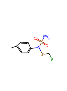 Cc1ccc(N(SCF)S(N)(=O)=O)cc1